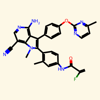 C=C(F)C(=O)Nc1ccc(-c2c(-c3ccc(Oc4nccc(C)n4)cc3)c3c(N)ncc(C#N)c3n2C)c(C)c1